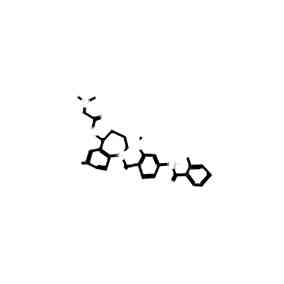 COc1cc(NC(=O)c2ccccc2C)ccc1C(=O)N1CCCC(OC(=O)CN(C)C)c2cc(F)ccc21